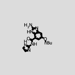 CCCCOc1cc(C(=O)Nc2ncc[nH]2)c2[nH]c(N)nc2c1